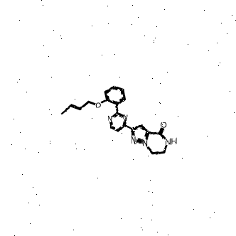 CCCCOc1ccccc1-c1nccc(-c2cc3n(n2)CCNC3=O)n1